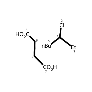 CCCCC(Cl)CC.O=C(O)CCC(=O)O